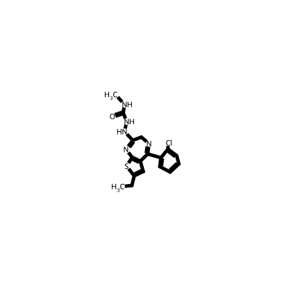 CCc1cc2c(s1)N=C(NNC(=O)NC)CN=C2c1ccccc1Cl